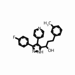 Cc1cccc(CCC(O)c2[nH]nc(-c3ccc(F)cc3)c2-c2ccncc2)c1